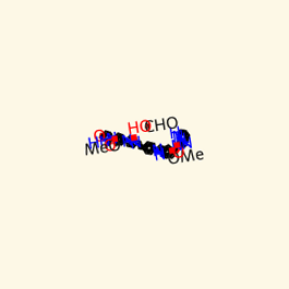 COc1cc2nn(C3CCC(CCN4CCN(c5ccc(N6CCC(=O)NC6=O)c(OC)c5)CC4)CC3)cc2cc1C(=O)Nc1cnc2cccnn12.O=CO